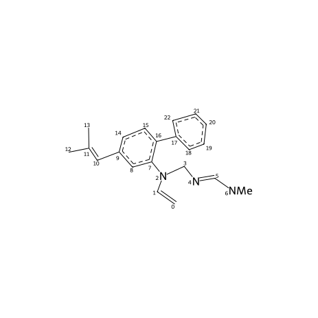 C=CN(C/N=C/NC)c1cc(C=C(C)C)ccc1-c1ccccc1